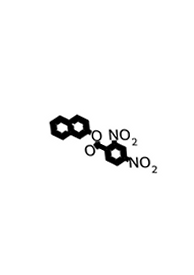 O=C(Oc1ccc2ccccc2c1)c1ccc([N+](=O)[O-])cc1[N+](=O)[O-]